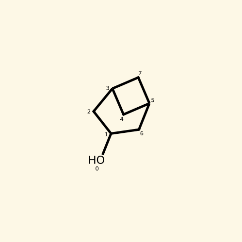 OC1CC2CC(C1)C2